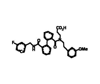 COc1cccc(CCN(CCC(=O)O)C(=O)c2ccccc2-c2ccccc2C(=O)NCc2cccc(F)c2)c1